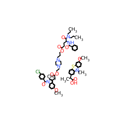 CCCN(CCC)C(=O)C(CCC(=O)OCCCN1CCN(CCOC(=O)Cc2c(C)n(C(=O)c3ccc(Cl)cc3)c3ccc(OC)cc23)CC1)NC(=O)c1ccccc1.COc1ccc2c(c1)Sc1ccc(C(C)C(=O)O)cc1N2C